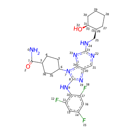 NC(=O)C1CCC(n2c(Nc3c(F)cc(F)cc3F)nc3cnc(NC[C@@H]4CCCC[C@@H]4O)nc32)CC1